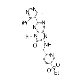 CCS(=O)(=O)c1ccc(CNc2nc3cnc(-c4c(C)ncnc4C(C)C)nc3n(C(C)C)c2=O)nc1